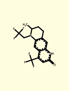 CC1CCc2cc3[nH]c(=O)cc(C(F)(F)F)c3cc2N1CC(F)(F)F